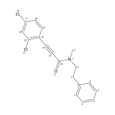 CN(CCc1ccccc1)C(=O)C#Cc1ccc(Cl)cc1Cl